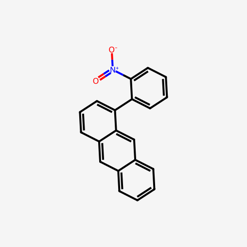 O=[N+]([O-])c1ccccc1-c1cccc2cc3ccccc3cc12